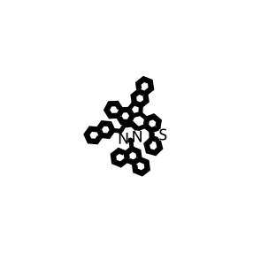 C1=CC(c2ccc3ccccc3c2)=NC(c2cc3ccccc3c3ccccc23)=NC=1c1c(C2c3cc4ccccc4cc3-c3c2ccc2ccccc32)ccc2sc3ccccc3c12